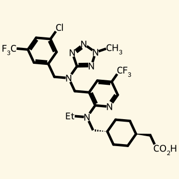 CCN(C[C@H]1CC[C@H](CC(=O)O)CC1)c1ncc(C(F)(F)F)cc1CN(Cc1cc(Cl)cc(C(F)(F)F)c1)c1nnn(C)n1